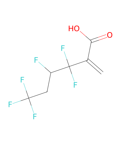 C=C(C(=O)O)C(F)(F)C(F)CC(F)(F)F